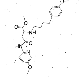 COC(=O)C(CC(=O)Nc1ccc(OC)cn1)NCCCCc1ccc(OC)cc1